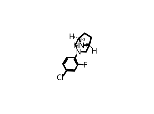 Fc1cc(Cl)ccc1N1C[C@H]2CC[C@@H](C1)N2